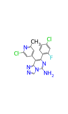 Cc1cc(-c2c(-c3ccc(Cl)cc3F)nc(N)n3cnnc23)cc(Cl)n1